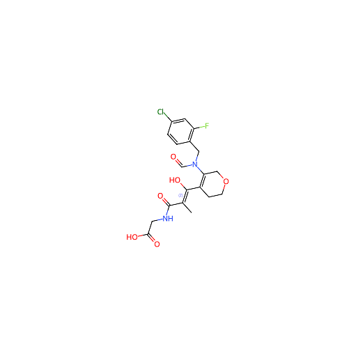 C/C(C(=O)NCC(=O)O)=C(/O)C1=C(N(C=O)Cc2ccc(Cl)cc2F)COCC1